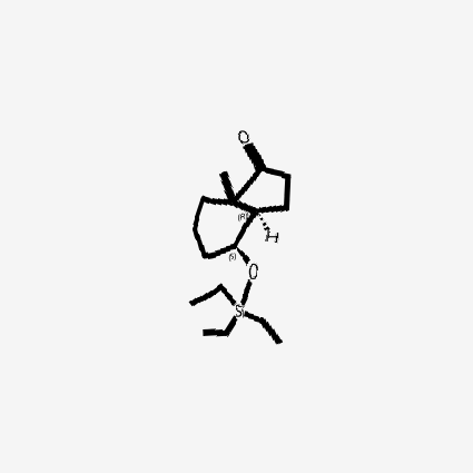 CC[Si](CC)(CC)O[C@H]1CCCC2(C)C(=O)CC[C@@H]12